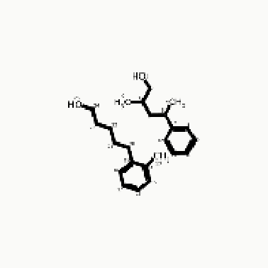 CC(CO)CC(C)c1ccccc1.Cc1ccccc1CCCCCO